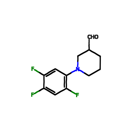 O=CC1CCCN(c2cc(F)c(F)cc2F)C1